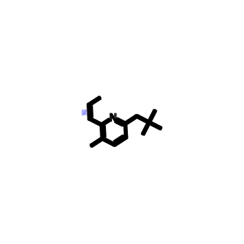 C/C=C\c1nc(CC(C)(C)C)ccc1C